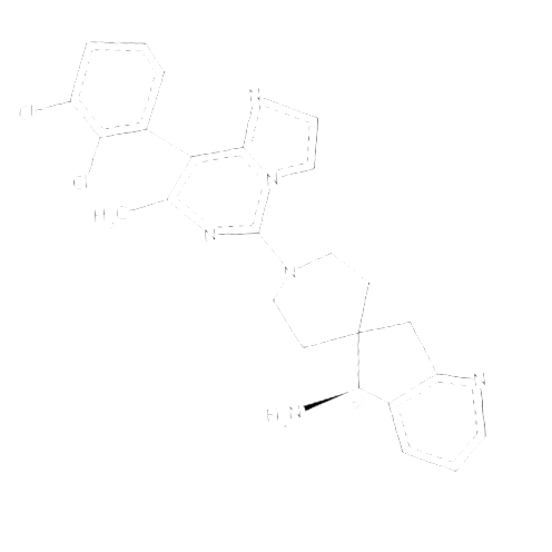 Cc1nc(N2CCC3(CC2)Cc2ncccc2[C@H]3N)n2ccnc2c1-c1cccc(Cl)c1Cl